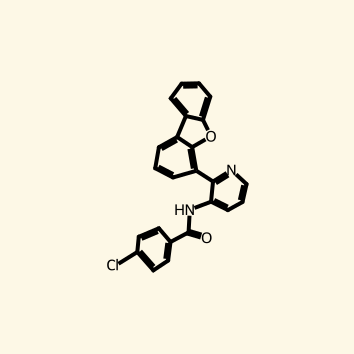 O=C(Nc1cccnc1-c1cccc2c1oc1ccccc12)c1ccc(Cl)cc1